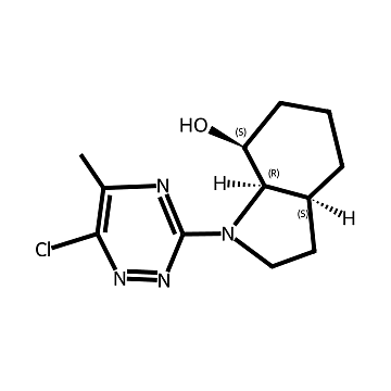 Cc1nc(N2CC[C@@H]3CCC[C@H](O)[C@@H]32)nnc1Cl